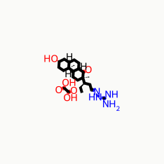 CC[C@H](C/C=N/NC(=N)N)[C@@]1(C)CC[C@H]2[C@@H](CC[C@@H]3C[C@@H](O)CC[C@@]32C)C1=O.O=C(O)C(=O)O